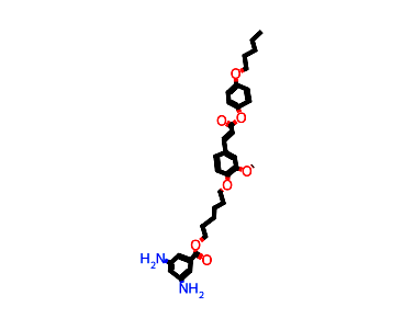 CCCCCOc1ccc(OC(=O)/C=C/c2ccc(OCCCCCCOC(=O)c3cc(N)cc(N)c3)c(OC)c2)cc1